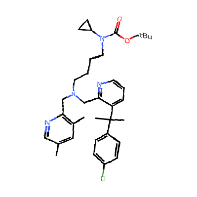 Cc1cnc(CN(CCCCN(C(=O)OC(C)(C)C)C2CC2)Cc2ncccc2C(C)(C)c2ccc(Cl)cc2)c(C)c1